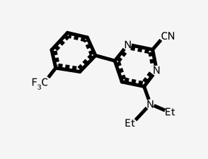 CCN(CC)c1cc(-c2cccc(C(F)(F)F)c2)nc(C#N)n1